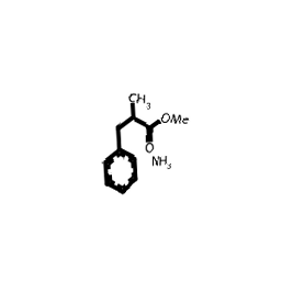 COC(=O)C(C)Cc1ccccc1.N